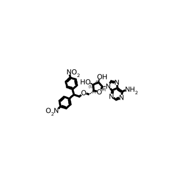 Nc1ncnc2c1ncn2[C@@H]1O[C@H](COCC(c2ccc([N+](=O)[O-])cc2)c2ccc([N+](=O)[O-])cc2)[C@@H](O)[C@H]1O